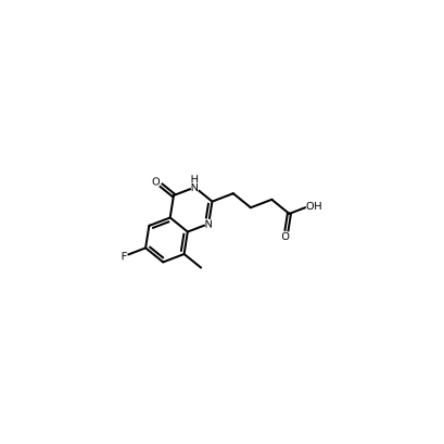 Cc1cc(F)cc2c(=O)[nH]c(CCCC(=O)O)nc12